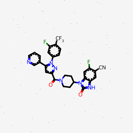 N#Cc1cc2[nH]c(=O)n(C3CCN(C(=O)c4cc(-c5cccnc5)n(-c5ccc(C(F)(F)F)c(F)c5)n4)CC3)c2cc1F